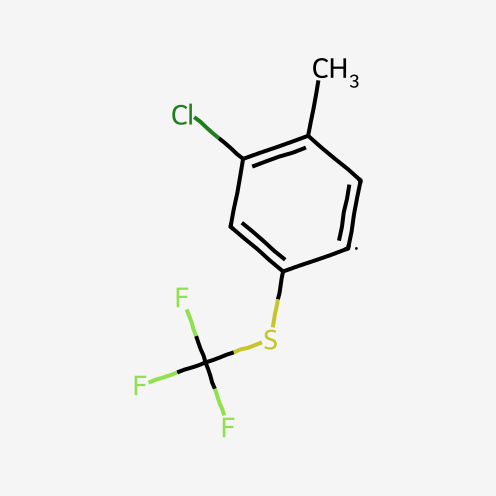 Cc1c[c]c(SC(F)(F)F)cc1Cl